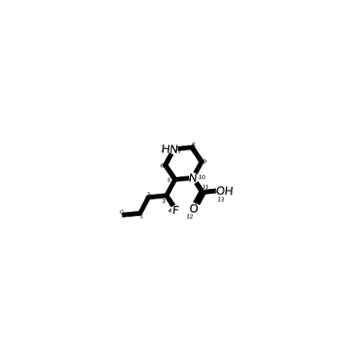 CCCC(F)C1CNCCN1C(=O)O